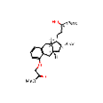 CCCCC[C@H](O)CC[C@@H]1[C@H]2Cc3cccc(OCC(=O)OC)c3C[C@H]2C[C@H]1OC(C)=O